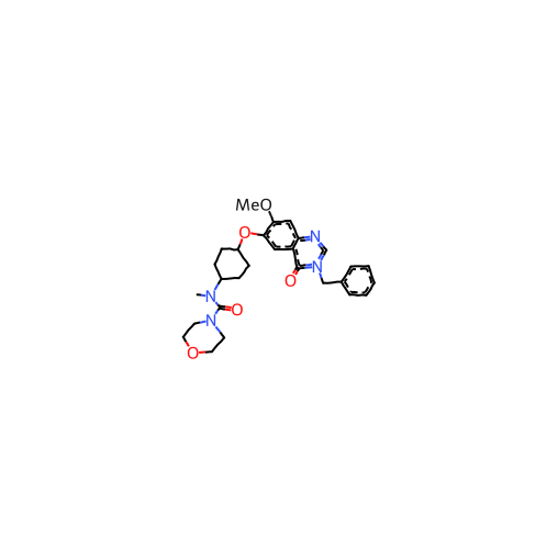 COc1cc2ncn(Cc3ccccc3)c(=O)c2cc1OC1CCC(N(C)C(=O)N2CCOCC2)CC1